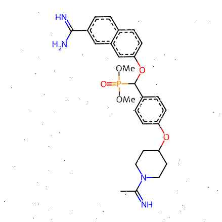 COP(=O)(OC)C(Oc1ccc2ccc(C(=N)N)cc2c1)c1ccc(OC2CCN(C(C)=N)CC2)cc1